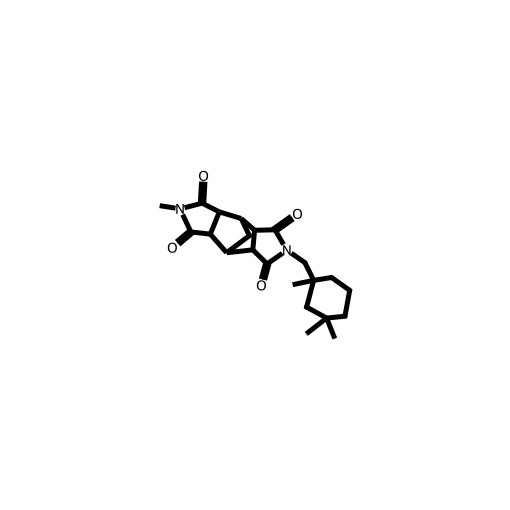 CN1C(=O)C2C3CC(C2C1=O)C1C(=O)N(CC2(C)CCCC(C)(C)C2)C(=O)C31